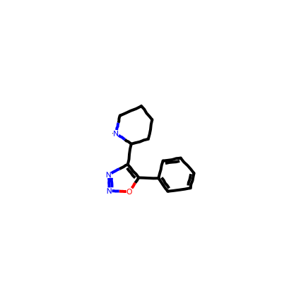 c1ccc(-c2onnc2C2CCCC[N]2)cc1